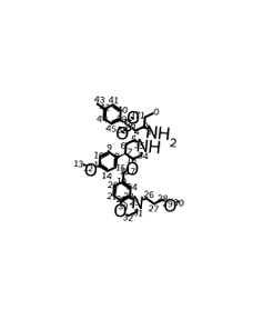 CC[C@@H](N)C([C@H]1C[C@H](c2ccc(OC)cc2)[C@@H](OCc2ccc3c(c2)N(CCCOC)CCO3)CN1)S(=O)(=O)c1ccc(C)cc1